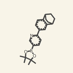 CC1(C)OB(c2ccc(-c3ccc4c(c3)C3CCC4CC3)nc2)OC1(C)C